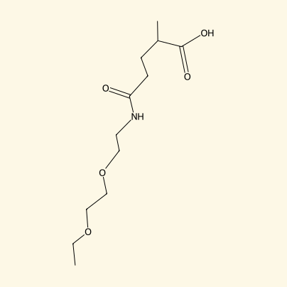 CCOCCOCCNC(=O)CCC(C)C(=O)O